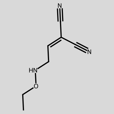 CCONCC=C(C#N)C#N